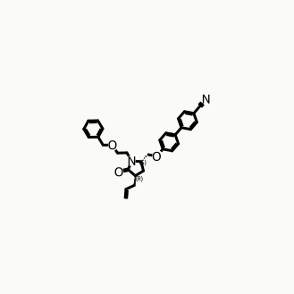 C=CC[C@@H]1C[C@@H](COc2ccc(-c3ccc(C#N)cc3)cc2)N(CCOCc2ccccc2)C1=O